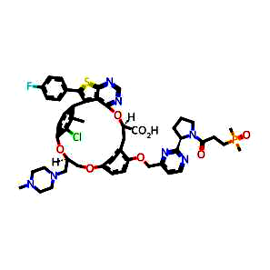 Cc1c2ccc(c1Cl)O[C@H](CN1CCN(C)CC1)COc1ccc(OCc3ccnc([C@H]4CCCN4C(=O)CCP(C)(C)=O)n3)c(c1)C[C@H](C(=O)O)Oc1ncnc3sc(-c4ccc(F)cc4)c-2c13